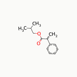 C=C(C(=O)OCC(C)C)c1ccccc1